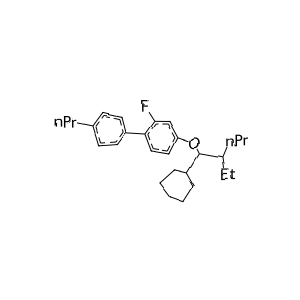 CCCc1ccc(-c2ccc(OC(C(CC)CCC)C3CCCCC3)cc2F)cc1